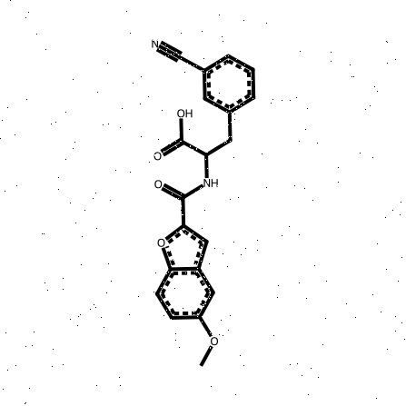 COc1ccc2oc(C(=O)NC(Cc3cccc(C#N)c3)C(=O)O)cc2c1